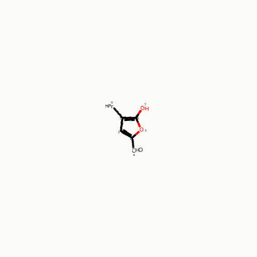 CCCc1cc(C=O)oc1O